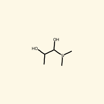 CC(O)C(O)[Si](C)C